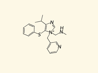 CNC[N+]1(Cc2cccnc2)C=NC(C(C)C)=C1Sc1ccccc1